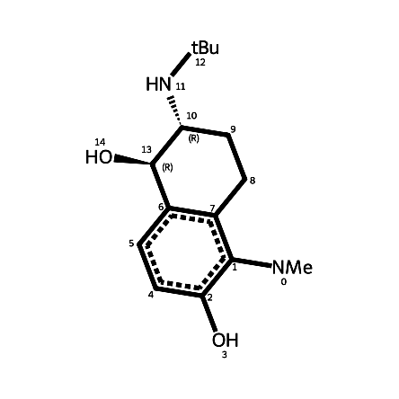 CNc1c(O)ccc2c1CC[C@@H](NC(C)(C)C)[C@@H]2O